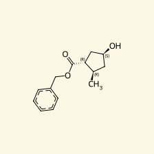 C[C@@H]1C[C@H](O)C[C@H]1C(=O)OCc1ccccc1